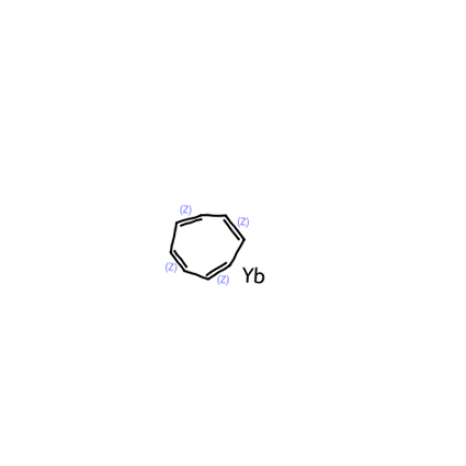 C1=C\C=C/C=C\C=C/1.[Yb]